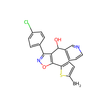 Bc1ccc(-c2onc(-c3ccc(Cl)cc3)c2C(O)c2cccnc2)s1